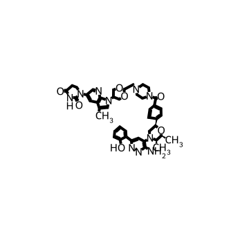 Cc1cn(C2COC(CN3CCN(C(=O)c4ccc([C@@H]5CN(c6cc(-c7ccccc7O)nnc6N)[C@H](C)[C@H](C)O5)cc4)CC3)OC2)c2ncc(N3CCC(=O)NC3=O)cc12